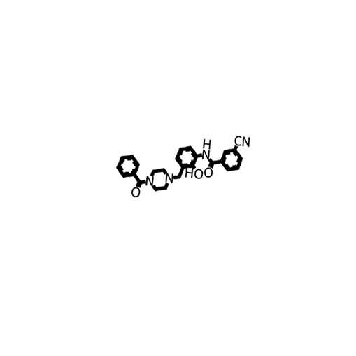 N#Cc1cccc(C(=O)Nc2cccc(CN3CCN(C(=O)c4ccccc4)CC3)c2O)c1